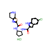 Cl.O=C(N[C@@H]1CCC[C@H]1NC(=O)c1nc2c(s1)CNCC2)c1cc2cc(Cl)ccc2[nH]1